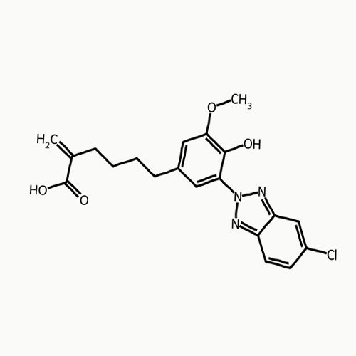 C=C(CCCCc1cc(OC)c(O)c(-n2nc3ccc(Cl)cc3n2)c1)C(=O)O